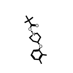 Cc1cccc(OC2CCN(OC(=O)C(C)(C)C)CC2)c1C